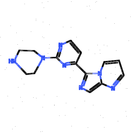 c1cnc2cnc(-c3ccnc(N4CCNCC4)n3)n2c1